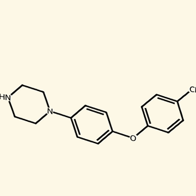 FC(F)(F)c1ccc(Oc2ccc(N3CCNCC3)cc2)cc1